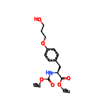 CC(C)(C)OC(=O)N[C@@H](Cc1ccc(OCCCO)cc1)C(=O)OC(C)(C)C